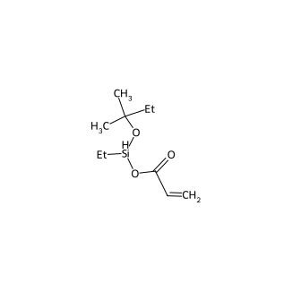 C=CC(=O)O[SiH](CC)OC(C)(C)CC